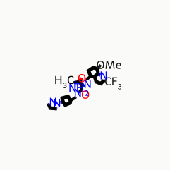 COc1ccc(-c2nc(C(=O)NCc3ccc(-n4cccn4)cc3)c([C@H](C)N)o2)c2ccc(C(F)(F)F)nc12